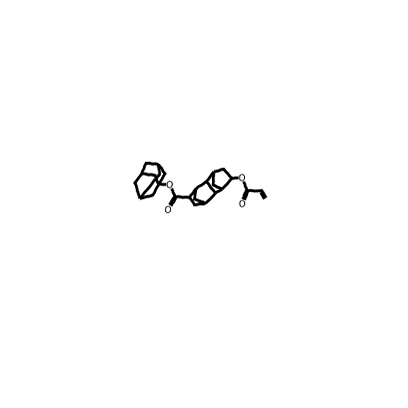 C=CC(=O)OC1CC2CC1C1C3CC(C(=O)OC45CC6CC(CC(C6)C4)C5)C(C3)C21